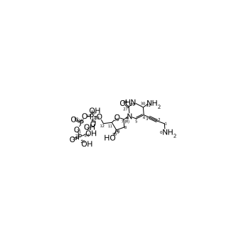 NCC#CC1=CN([C@H]2C[C@@H](O)C(COP(=O)(O)OP(=O)(O)OP(=O)(O)O)O2)C(=O)NC1N